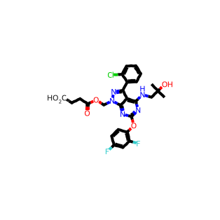 CC(C)(O)CNc1nc(Oc2ccc(F)cc2F)nc2c1c(-c1ccccc1Cl)nn2COC(=O)CCC(=O)O